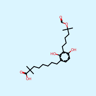 CC(C)(CCCCc1c(O)ccc(CCCCCCC(C)(C)C(=O)O)c1O)OC=O